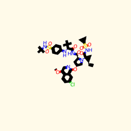 C=C[C@@H]1C[C@@]1(C(=O)NS(=O)(=O)C1CC1)N1C[C@H](Oc2ncc(OC)c3ccc(Cl)cc23)C[C@H]1C(=O)NC(=O)[C@H](Nc1ccc(S(=O)(=O)NC(C)(C)C)cc1)C(C)(C)C